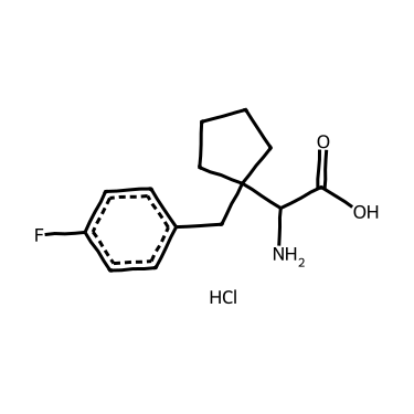 Cl.NC(C(=O)O)C1(Cc2ccc(F)cc2)CCCC1